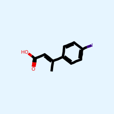 C/C(=C\C(=O)O)c1ccc(I)cc1